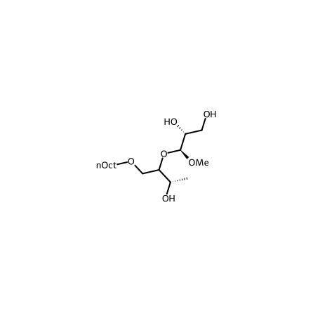 CCCCCCCCOCC(O[C@H](OC)[C@H](O)CO)[C@H](C)O